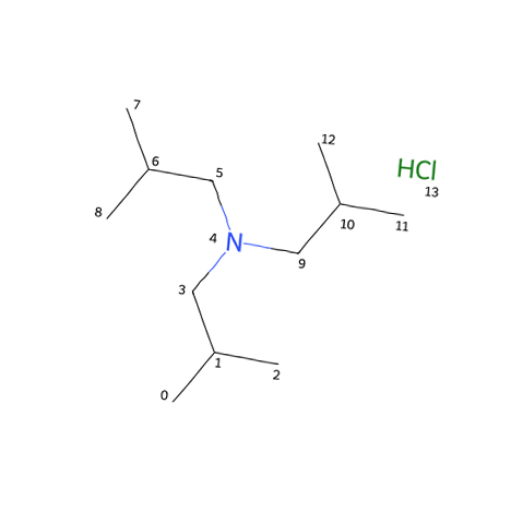 CC(C)CN(CC(C)C)CC(C)C.Cl